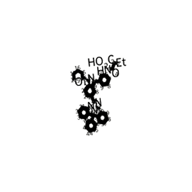 CCC(C(=O)O)C(=O)Nc1cccc(-c2nn(C3CCCCO3)c3ccc(-c4ncn(C(c5ccccc5)(c5ccccc5)c5ccccc5)n4)cc23)c1